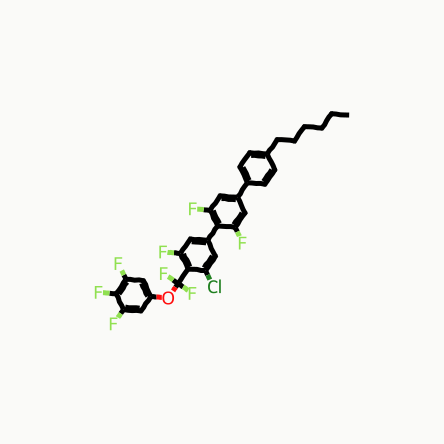 CCCCCCc1ccc(-c2cc(F)c(-c3cc(F)c(C(F)(F)Oc4cc(F)c(F)c(F)c4)c(Cl)c3)c(F)c2)cc1